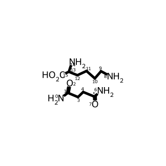 NC(=O)CCC(N)=O.NCCCCC(N)C(=O)O